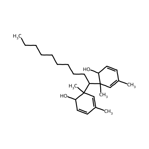 CCCCCCCCCC(C1(C)C=C(C)C=CC1O)C1(C)C=C(C)C=CC1O